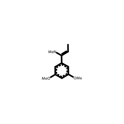 C/C=C(\NC)c1cc(OC)cc(OC)c1